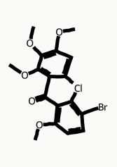 COc1cc(C)c(C(=O)c2c(OC)ccc(Br)c2Cl)c(OC)c1OC